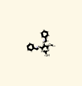 Sc1nc(/N=C/c2ccccc2)c(/N=C/c2ccccc2)c(OI)n1